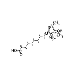 CC.CCCCCCCCCC(=O)O.Cc1ncsc1O